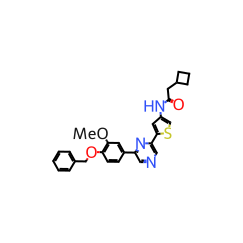 COc1cc(-c2cncc(-c3cc(NC(=O)CC4CCC4)cs3)n2)ccc1OCc1ccccc1